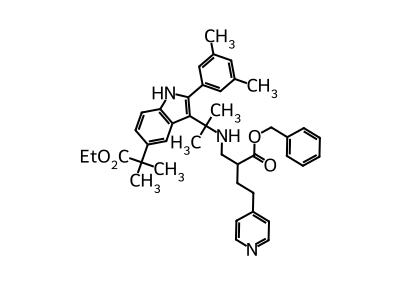 CCOC(=O)C(C)(C)c1ccc2[nH]c(-c3cc(C)cc(C)c3)c(C(C)(C)NCC(CCc3ccncc3)C(=O)OCc3ccccc3)c2c1